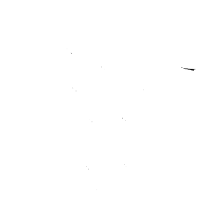 C=C[C@@H]1OCCN(c2nc3nc(-c4noc(=O)[nH]4)nc(N[C@H](C)C4CCC4)c3n2C[C@H]2CC[C@H](C=C)CC2)[C@@H]1c1ccccc1